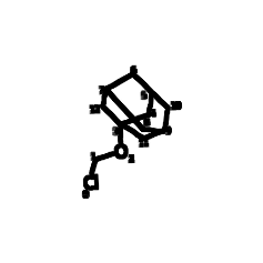 ClCOC12CC3CC(CC(C3)C1)C2